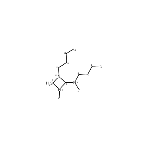 CCCCN(C)C1N(C)[SiH2]N1CCCC